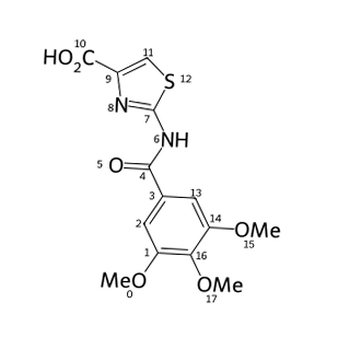 COc1cc(C(=O)Nc2nc(C(=O)O)cs2)cc(OC)c1OC